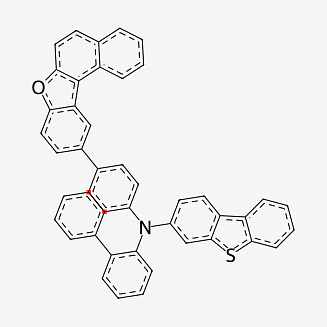 c1ccc(-c2ccccc2N(c2ccc(-c3ccc4oc5ccc6ccccc6c5c4c3)cc2)c2ccc3c(c2)sc2ccccc23)cc1